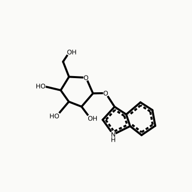 OCC1OC(Oc2c[nH]c3ccccc23)C(O)C(O)C1O